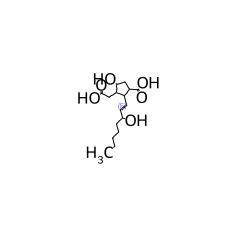 CCCCCC(O)/C=C/C1C(C(=O)O)CC(O)C1CC(=O)O